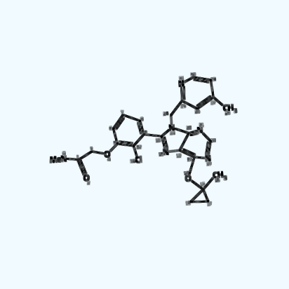 CNC(=O)COc1cccc(-c2nc3c(OC4(C)CC4)ncnc3n2Cc2cc(C)ccn2)c1Cl